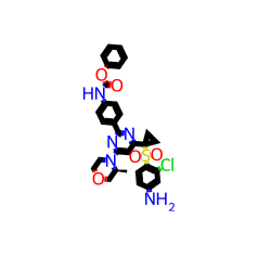 C[C@H]1COCCN1c1cc(C2(S(=O)(=O)c3ccc(N)cc3Cl)CC2)nc(-c2ccc(NC(=O)Oc3ccccc3)cc2)n1